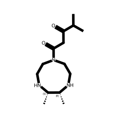 CC(C)C(=O)CC(=O)N1CCN[C@@H](C)[C@@H](C)NCC1